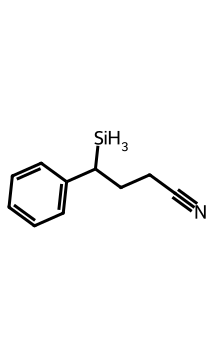 N#CCCC([SiH3])c1ccccc1